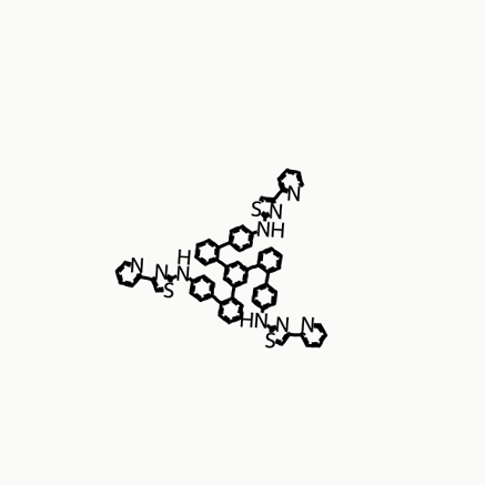 c1ccc(-c2csc(Nc3ccc(-c4ccccc4-c4cc(-c5ccccc5-c5ccc(Nc6nc(-c7ccccn7)cs6)cc5)cc(-c5ccccc5-c5ccc(Nc6nc(-c7ccccn7)cs6)cc5)c4)cc3)n2)nc1